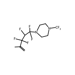 C=C(C)C(F)(F)C(F)C(F)(F)N1CCN(C(F)(F)F)CC1